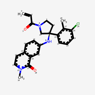 C=CC(=O)N1CC[C@](Nc2ccc3ccn(C)c(=O)c3c2)(c2cccc(Cl)c2C)C1